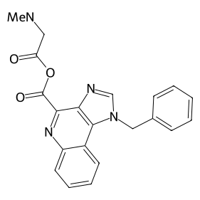 CNCC(=O)OC(=O)c1nc2ccccc2c2c1ncn2Cc1ccccc1